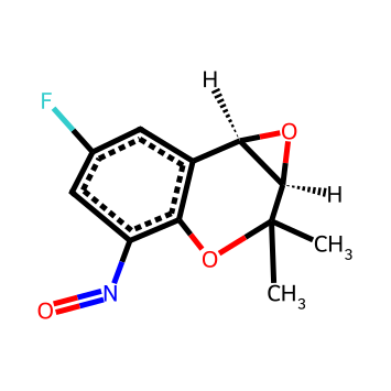 CC1(C)Oc2c(N=O)cc(F)cc2[C@H]2O[C@H]21